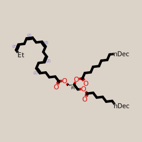 CC/C=C\C/C=C\C/C=C\C/C=C\C/C=C\CCCC(=O)OC[C@@H](COC(=O)CCCCCCCCCCCCCCC)OC(=O)CCCCCCCCCCCCCCCCC